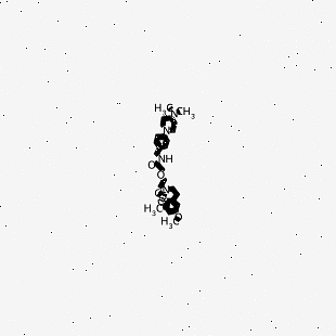 COc1cc(C)c2c(c1)CCN(CCOCC(=O)NCc1ccc(N3CCC(N(C)C)CC3)cc1)S2(=O)=O